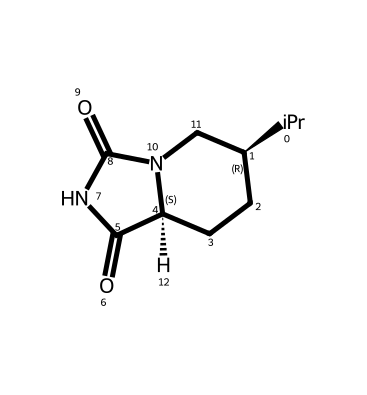 CC(C)[C@H]1CC[C@H]2C(=O)NC(=O)N2C1